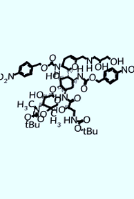 CN(C(=O)OC(C)(C)C)[C@@H]1[C@@H](O)[C@@H](O[C@H]2[C@H](NC(=O)[C@H](O)CNC(=O)OC(C)(C)C)C[C@H](NC(=O)OCc3ccc([N+](=O)[O-])cc3)C([C@H]3OC(CNCC(O)CO)=CC[C@H]3NC(=O)OCc3ccc([N+](=O)[O-])cc3)[C@@H]2O)OC[C@]1(C)O